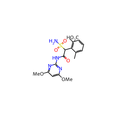 COc1cc(OC)nc(NC(=O)C(c2c(C)cccc2C(=O)O)S(N)(=O)=O)n1